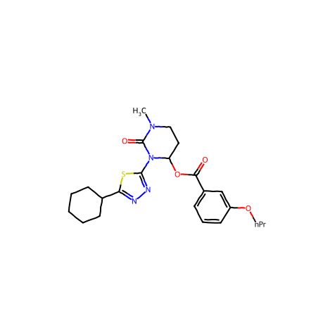 CCCOc1cccc(C(=O)OC2CCN(C)C(=O)N2c2nnc(C3CCCCC3)s2)c1